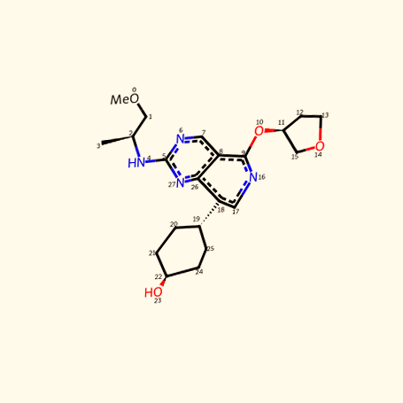 COC[C@H](C)Nc1ncc2c(O[C@H]3CCOC3)ncc([C@H]3CC[C@H](O)CC3)c2n1